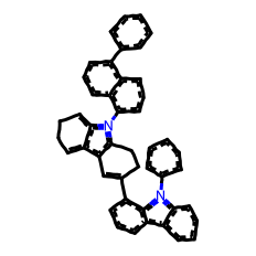 C1=C(c2cccc3c4ccccc4n(-c4ccccc4)c23)CCc2c1c1c(n2-c2cccc3c(-c4ccccc4)cccc23)=CCCC=1